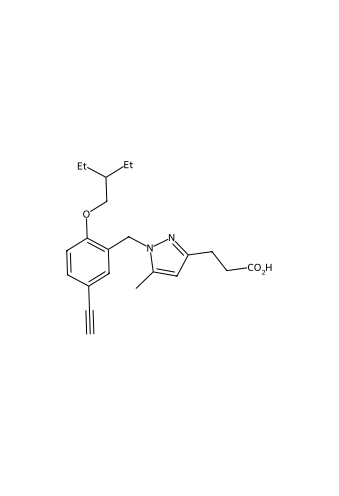 C#Cc1ccc(OCC(CC)CC)c(Cn2nc(CCC(=O)O)cc2C)c1